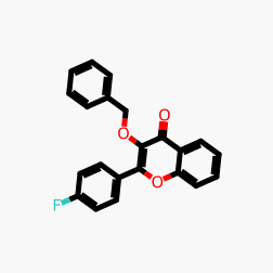 O=c1c(OCc2ccccc2)c(-c2ccc(F)cc2)oc2ccccc12